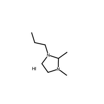 CCCN1CCN(C)C1C.I